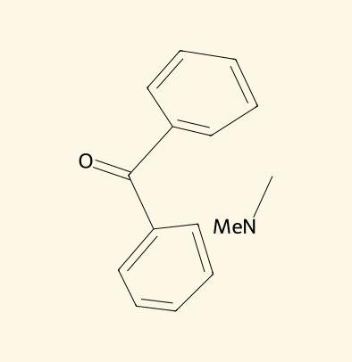 CNC.O=C(c1ccccc1)c1ccccc1